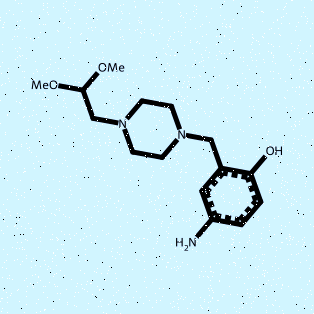 COC(CN1CCN(Cc2cc(N)ccc2O)CC1)OC